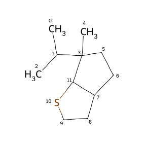 CC(C)C1(C)CCC2CCSC21